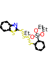 CCO[Si](OCC)(OCC)c1ccccc1SSSSc1nc2ccccc2s1